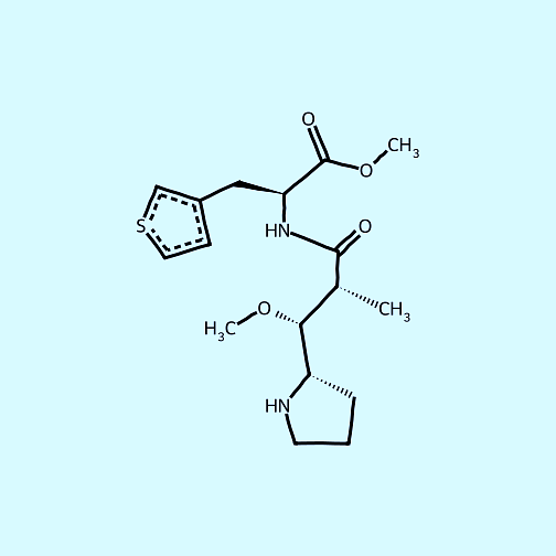 COC(=O)[C@H](Cc1ccsc1)NC(=O)[C@H](C)[C@@H](OC)[C@@H]1CCCN1